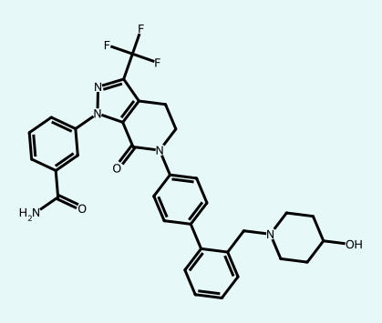 NC(=O)c1cccc(-n2nc(C(F)(F)F)c3c2C(=O)N(c2ccc(-c4ccccc4CN4CCC(O)CC4)cc2)CC3)c1